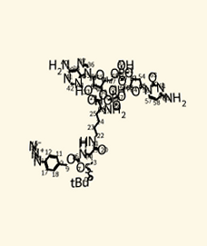 CC(C)(C)SSC[C@H](NC(=O)OCc1ccc(N=[N+]=[N-])cc1)C(=O)NCCCC[C@@H](N)C(=O)O[C@H]1[C@@H](O)[C@H](n2cnc3c(N)ncnc32)O[C@H]1COP(=O)(O)O[C@H]1C[C@H](n2ccc(N)nc2=O)O[C@@H]1COP(=O)(O)O